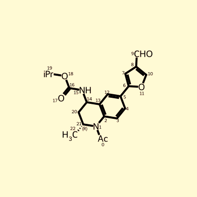 CC(=O)N1c2ccc(-c3cc(C=O)co3)cc2C(NC(=O)OC(C)C)C[C@H]1C